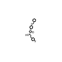 O=C1[C@@H](C(O)CCc2ccc(F)cc2)CN1c1ccc(OCc2ccccc2)cc1